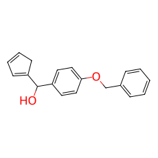 OC(C1=CC=CC1)c1ccc(OCc2ccccc2)cc1